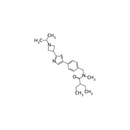 CCC(CC)C(=O)N(C)Cc1ccc(-c2cnc(C3CN(C(C)C)C3)s2)cc1